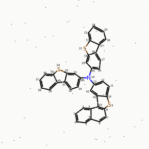 c1ccc2c(c1)ccc1sc3ccc(N(c4ccc5c(c4)sc4ccccc45)c4ccc5c(c4)sc4ccccc45)cc3c12